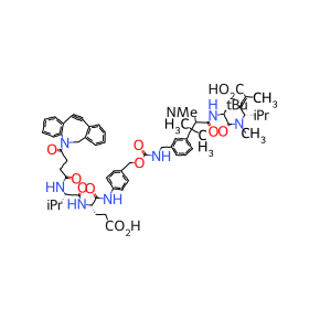 CNC(C(=O)N[C@H](C(=O)N(C)[C@H](/C=C(\C)C(=O)O)C(C)C)C(C)(C)C)C(C)(C)c1cccc(CNC(=O)OCc2ccc(NC(=O)[C@H](CCC(=O)O)NC(=O)[C@@H](NC(=O)CCC(=O)N3Cc4ccccc4C#Cc4ccccc43)C(C)C)cc2)c1